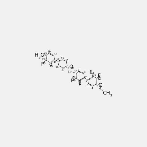 CCOc1ccc(-c2ccc(COC3CC=C(c4ccc(C)c(F)c4F)CC3)c(F)c2F)c(F)c1F